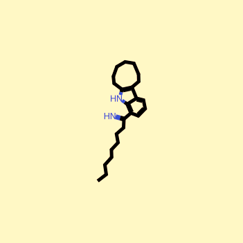 CCCCCCCCC(=N)c1cccc2c3c([nH]c12)CCCCCCC3